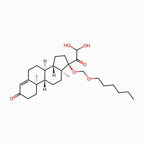 CCCCCCOCO[C@]1(C(=O)C(O)O)CC[C@H]2[C@@H]3CCC4=CC(=O)CC[C@]4(C)[C@H]3CC[C@@]21C